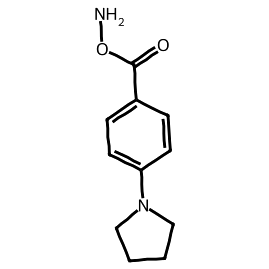 NOC(=O)c1ccc(N2CCCC2)cc1